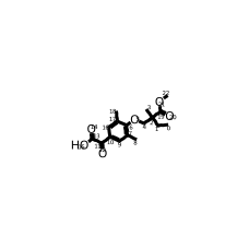 CCC(C)(COc1c(C)cc(C(=O)C(=O)O)cc1C)C(=O)OC